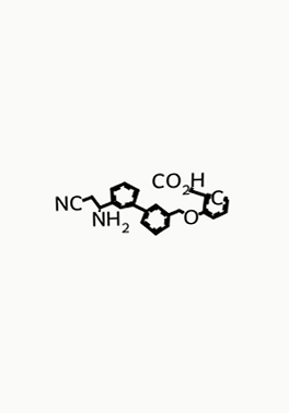 N#CC[C@@H](N)c1cccc(-c2cccc(COc3ccccc3CC(=O)O)c2)c1